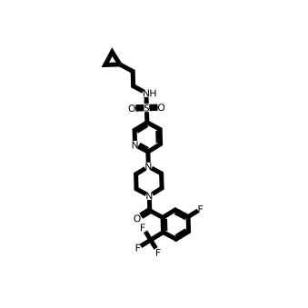 O=C(c1cc(F)ccc1C(F)(F)F)N1CCN(c2ccc(S(=O)(=O)NCCC3CC3)cn2)CC1